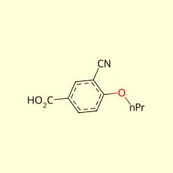 CCCOc1ccc(C(=O)O)cc1C#N